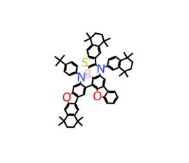 CC(C)(C)c1ccc(N2B3c4sc5cc6c(cc5c4N(c4ccc5c(c4)C(C)(C)CCC5(C)C)c4cc5c(oc7ccccc75)c(c43)-c3cc4c(cc32)oc2cc3c(cc24)C(C)(C)CCC3(C)C)C(C)(C)CCC6(C)C)cc1